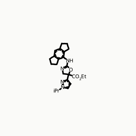 CCOC(=O)C1(c2ccn(C(C)C)n2)CN=C(Nc2c3c(cc4c2CCC4)CCC3)O1